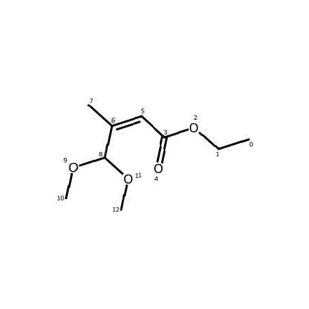 CCOC(=O)C=C(C)C(OC)OC